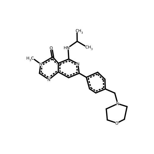 CC(C)Nc1nc(-c2ccc(CN3CCOCC3)cc2)cc2ncn(C)c(=O)c12